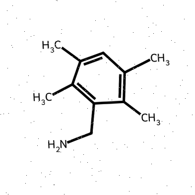 Cc1cc(C)c(C)c(CN)c1C